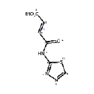 CCOC(=O)/C=C/C(=O)Nc1nncs1